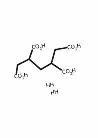 O=C(O)CC(CC(CC(=O)O)C(=O)O)C(=O)O.[HH].[HH]